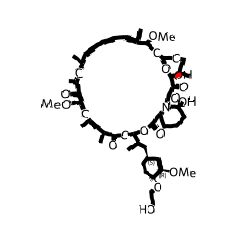 COC1CC(C)=CC(C)C(=O)CC(C(C)C[C@@H]2CC[C@@H](OCCO)[C@H](OC)C2)OC(=O)C2CCCC(O)N2C(=O)C(=O)C2(O)OC(CCC2C)CC(OC)C(C)=CC=CC=CC(C)CC(C)C1=O